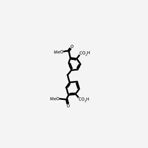 COC(=O)c1cc(Cc2ccc(C(=O)O)c(C(=O)OC)c2)ccc1C(=O)O